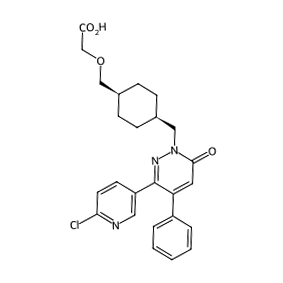 O=C(O)COC[C@H]1CC[C@@H](Cn2nc(-c3ccc(Cl)nc3)c(-c3ccccc3)cc2=O)CC1